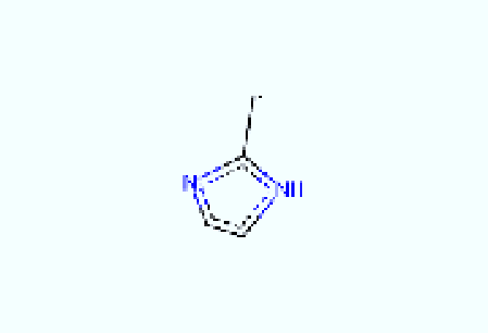 [CH2]c1ncc[nH]1